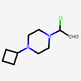 O=CC(Cl)N1CCN(C2CCC2)CC1